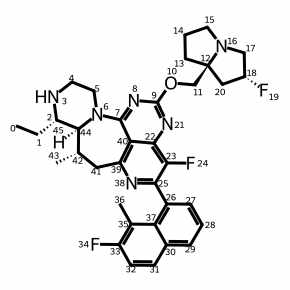 CC[C@@H]1NCCN2c3nc(OC[C@@]45CCCN4C[C@H](F)C5)nc4c(F)c(-c5cccc6ccc(F)c(C)c56)nc(c34)C[C@H](C)[C@@H]12